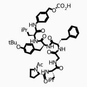 CC(=O)N1CCC[C@H]1C(=O)N[C@@H](CC(C)C)C(=O)NCC(=O)N[C@@H](CCc1ccccc1)C(=O)N[C@@H](Cc1ccc(OC(C)(C)C)cc1)C(=O)N[C@@H](CC(C)C)C(=O)Nc1ccc(COC(=O)O)cc1